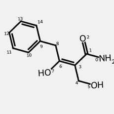 NC(=O)C(CO)=C(O)Cc1ccccc1